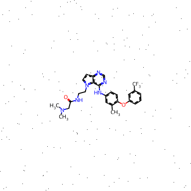 Cc1cc(Nc2ncnc3ccn(CCNC(=O)CN(C)C)c23)ccc1Oc1cccc(C(F)(F)F)c1